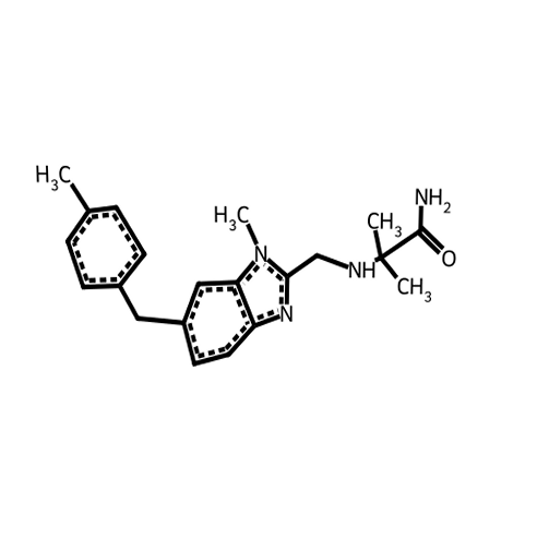 Cc1ccc(Cc2ccc3nc(CNC(C)(C)C(N)=O)n(C)c3c2)cc1